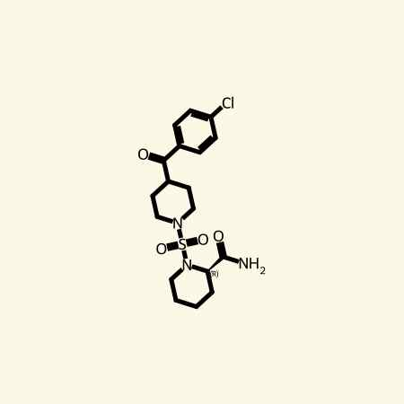 NC(=O)[C@H]1CCCCN1S(=O)(=O)N1CCC(C(=O)c2ccc(Cl)cc2)CC1